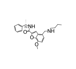 CCCCNCc1ccc(OC)c2oc(C(=O)N[C@@H](C)c3ccccc3)cc12